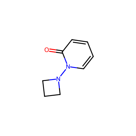 O=c1ccccn1N1CCC1